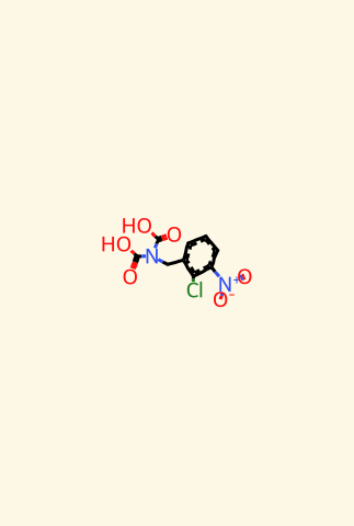 O=C(O)N(Cc1cccc([N+](=O)[O-])c1Cl)C(=O)O